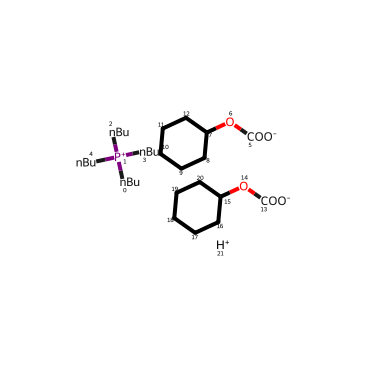 CCCC[P+](CCCC)(CCCC)CCCC.O=C([O-])OC1CCCCC1.O=C([O-])OC1CCCCC1.[H+]